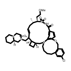 COCC[C@@H]1[C@@H](C)C/C=C/[C@@](CN2CCN3CCCC[C@@H]3C2)(OC)[C@@H]2CC[C@H]2CN2CCCCc3cc(Cl)ccc3COc3ccc(cc32)C(=O)NS1(=O)=O